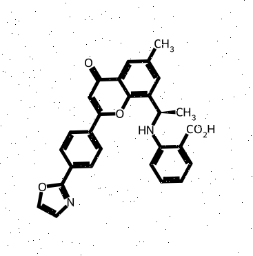 Cc1cc([C@@H](C)Nc2ccccc2C(=O)O)c2oc(-c3ccc(-c4ncco4)cc3)cc(=O)c2c1